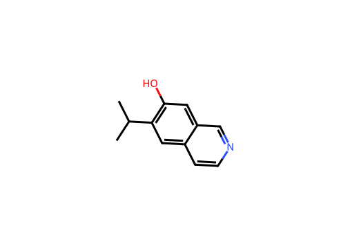 CC(C)c1cc2ccncc2cc1O